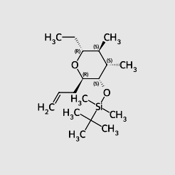 C=CC[C@H]1O[C@H](CC)[C@@H](C)[C@H](C)[C@@H]1O[Si](C)(C)C(C)(C)C